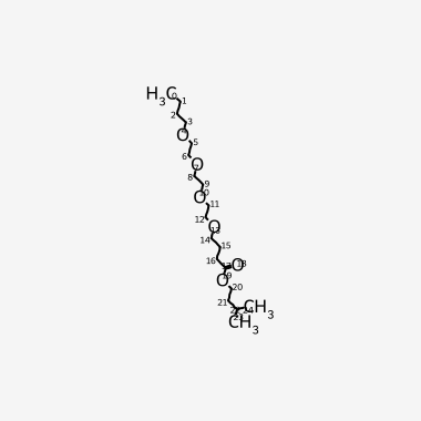 CCCCOCCOCCOCCOCCCC(=O)OCCC(C)C